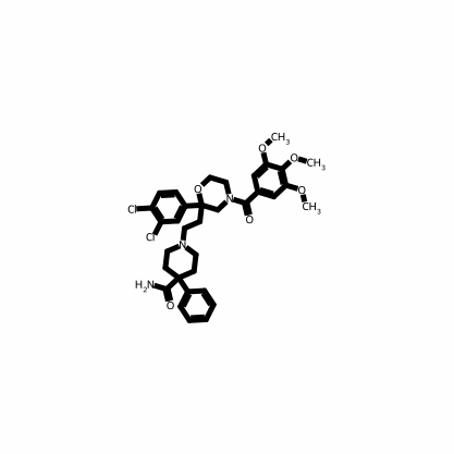 COc1cc(C(=O)N2CCOC(CCN3CCC(C(N)=O)(c4ccccc4)CC3)(c3ccc(Cl)c(Cl)c3)C2)cc(OC)c1OC